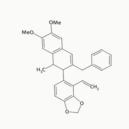 C=Cc1c(C2C(Cc3ccccc3)=Cc3cc(OC)c(OC)cc3C2C)ccc2c1OCO2